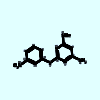 CSc1cc(N)nc(Sc2cccc([N+](=O)[O-])c2)n1